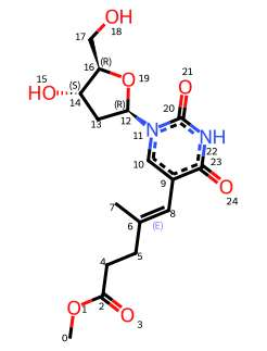 COC(=O)CC/C(C)=C/c1cn([C@H]2C[C@H](O)[C@@H](CO)O2)c(=O)[nH]c1=O